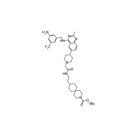 Cc1nc(NCc2cc(N)cc(C(F)(F)F)c2)c2cc(C3CCN(CC(=O)NCCC4CCC5(CC4)CCN(C(=O)OC(C)(C)C)CC5)CC3)ccc2n1